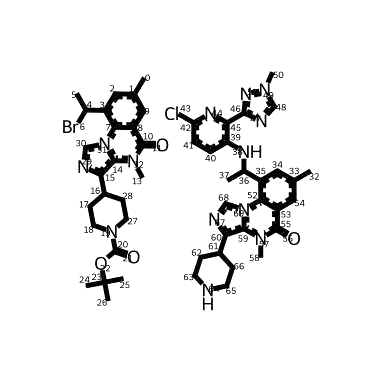 Cc1cc(C(C)Br)c2c(c1)c(=O)n(C)c1c(C3CCN(C(=O)OC(C)(C)C)CC3)ncn21.Cc1cc(C(C)Nc2ccc(Cl)nc2-c2ncn(C)n2)c2c(c1)c(=O)n(C)c1c(C3CCNCC3)ncn21